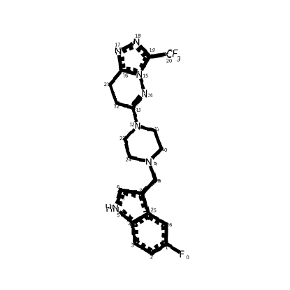 Fc1ccc2[nH]cc(CN3CCN(C4=Nn5c(nnc5C(F)(F)F)CC4)CC3)c2c1